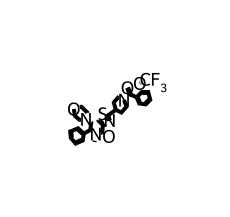 CN(C(=O)c1csc(C2CCN(C(=O)c3ccccc3OC(F)(F)F)CC2)n1)C(CN1CCOCC1)c1ccccc1